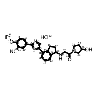 CC(C)Oc1ccc(-c2ncc(-c3cccc4c3CCC4NCC(=O)N3CCC(O)C3)s2)cc1C#N.Cl